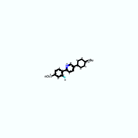 CCCCCCCCc1ccc(-c2ccc(C3CCC(CCCC)CC3)cn2)c(F)c1